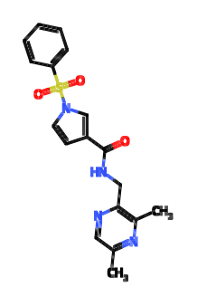 Cc1cnc(CNC(=O)c2ccn(S(=O)(=O)c3ccccc3)c2)c(C)n1